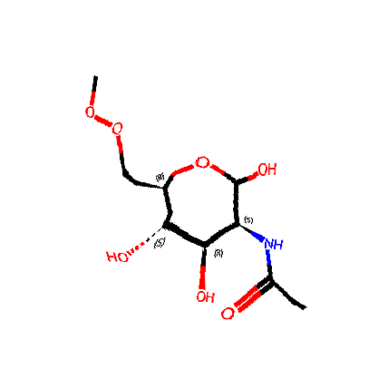 COOC[C@H]1OC(O)[C@@H](NC(C)=O)[C@@H](O)[C@@H]1O